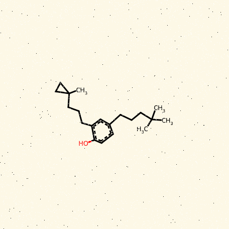 CC(C)(C)CCCc1ccc(O)c(CCCC2(C)CC2)c1